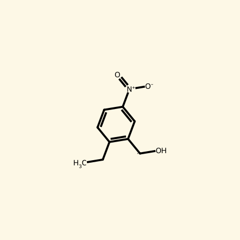 CCc1ccc([N+](=O)[O-])cc1[CH]O